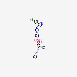 O=C(NS(=O)(=O)c1ccc(NCCSc2ccccc2)c([N+](=O)[O-])c1)c1ccc(N2CCN(Cc3ccncc3-c3ccc(Cl)cc3)CC2)cc1